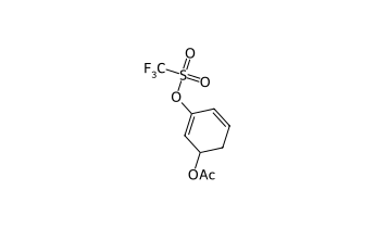 CC(=O)OC1C=C(OS(=O)(=O)C(F)(F)F)C=CC1